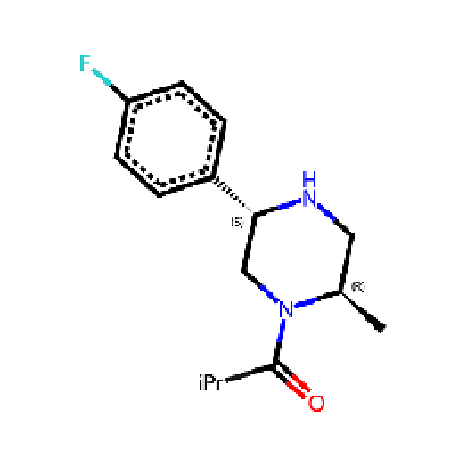 CC(C)C(=O)N1C[C@H](c2ccc(F)cc2)NC[C@H]1C